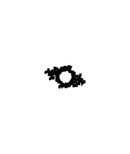 CC(C)C[C@H]1C(=O)O[C@H](Cc2ccc(Cn3nc(C(F)F)cc3C(F)F)cc2)C(=O)N(C)[C@@H](CC(C)C)C(=O)O[C@H](C)C(=O)N(C)[C@@H](CC(C)C)C(=O)O[C@H](Cc2ccc(Cn3nc(C(F)F)cc3C(F)F)cc2)C(=O)N(C)[C@@H](CC(C)C)C(=O)O[C@H](C)C(=O)N1C